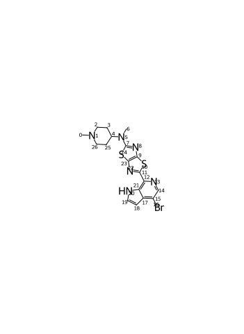 CN1CCC(N(C)c2nc3sc(-c4ncc(Br)c5cc[nH]c45)nc3s2)CC1